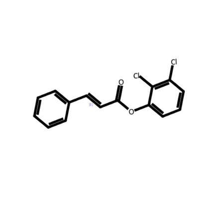 O=C(/C=C/c1ccccc1)Oc1cccc(Cl)c1Cl